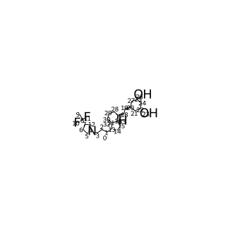 C[C@H](CCN1CC[C@H](C(C)(F)F)C1)[C@H]1CC[C@H]2/C(=C/C=C3C[C@@H](O)C[C@H](O)C3)CCC[C@]12C